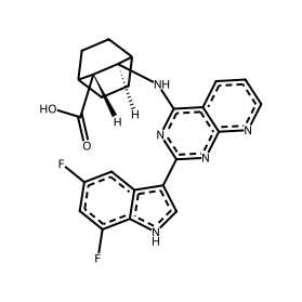 O=C(O)[C@@H]1C2CCC(CC2)[C@H]1Nc1nc(-c2c[nH]c3c(F)cc(F)cc23)nc2ncccc12